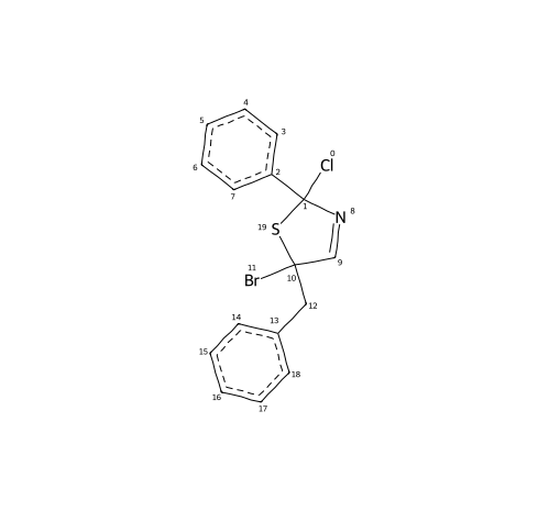 ClC1(c2ccccc2)N=CC(Br)(Cc2ccccc2)S1